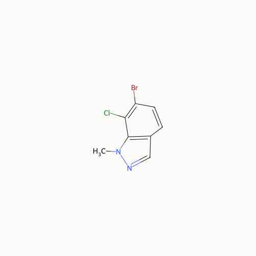 Cn1ncc2ccc(Br)c(Cl)c21